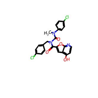 CN(C(=O)N(Cc1ccc(Cl)cc1)C(=O)c1cc2c(O)ccnc2o1)c1ccc(Cl)cc1